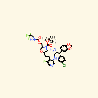 CC(C)(C)OC(=O)N1CC(CCc2c(F)cncc2NC[C@H](N)[C@@H](c2ccc(Cl)cc2)c2ccc3c(c2)OCO3)OCC1COC(=O)NCC(F)(F)F